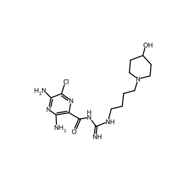 N=C(NCCCCN1CCC(O)CC1)NC(=O)c1nc(Cl)c(N)nc1N